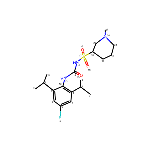 CC(C)c1cc(F)cc(C(C)C)c1NC(=O)NS(=O)(=O)C1CCCN(C)C1